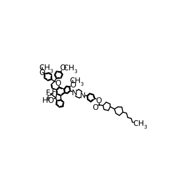 CCCCCC1CCC(C2CCC(C(=O)Oc3ccc(N4CCN(c5cc6c7c(c8c(c6cc5OC)OC(c5ccc(OC)cc5)(c5ccc(OC)cc5)C=C8)C(O)(C(F)(F)F)c5ccccc5-7)CC4)cc3)CC2)CC1